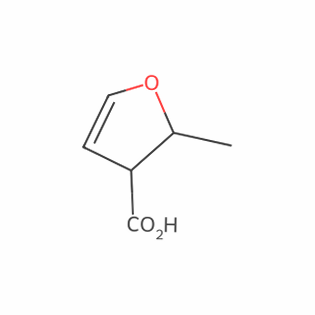 CC1OC=CC1C(=O)O